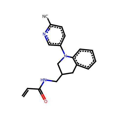 C=CC(=O)NCC1Cc2ccccc2N(c2ccc(C#N)nc2)C1